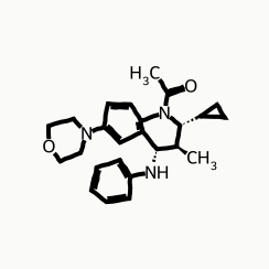 CC(=O)N1c2ccc(N3CCOCC3)cc2[C@@H](Nc2ccccc2)[C@H](C)[C@H]1C1CC1